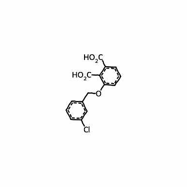 O=C(O)c1cccc(OCc2cccc(Cl)c2)c1C(=O)O